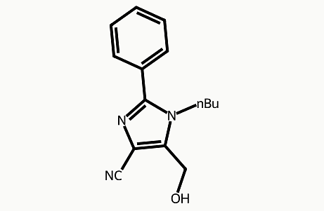 CCCCn1c(-c2ccccc2)nc(C#N)c1CO